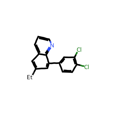 CCc1cc(-c2ccc(Cl)c(Cl)c2)c2ncccc2c1